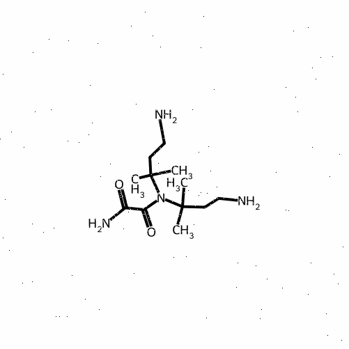 CC(C)(CCN)N(C(=O)C(N)=O)C(C)(C)CCN